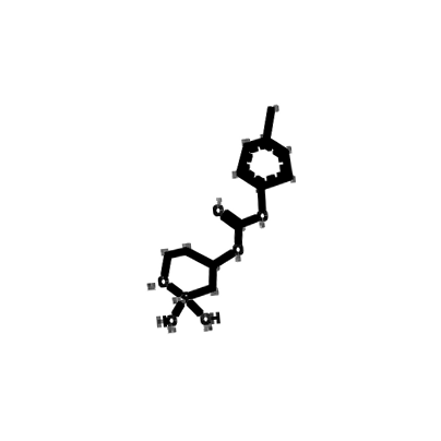 Cc1ccc(OC(=O)OC2CCOS(O)(O)C2)cc1